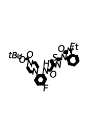 CCn1c2c(n(-c3nc(C(=O)Nc4cc(F)ccc4N4CCN(C(=O)OC(C)(C)C)CC4)cs3)c1=O)CCC=C2